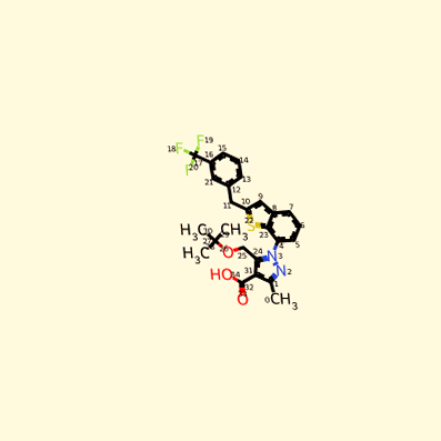 Cc1nn(-c2cccc3cc(Cc4cccc(C(F)(F)F)c4)sc23)c(COC(C)(C)C)c1C(=O)O